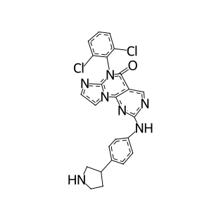 O=c1c2cnc(Nc3ccc(C4CCNC4)cc3)nc2n2ccnc2n1-c1c(Cl)cccc1Cl